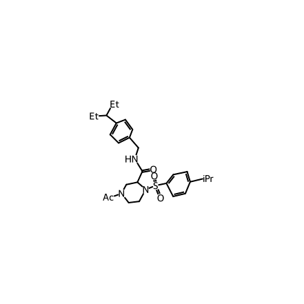 CCC(CC)c1ccc(CNC(=O)C2CN(C(C)=O)CCN2S(=O)(=O)c2ccc(C(C)C)cc2)cc1